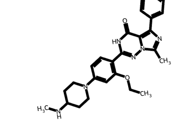 CCOc1cc(N2CCC(NC)CC2)ccc1-c1nn2c(C)nc(-c3ccccc3)c2c(=O)[nH]1